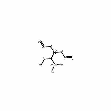 C=CCN(CC=C)C(CC)N(C)C